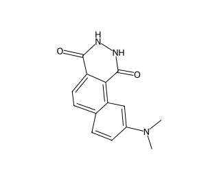 CN(C)c1ccc2ccc3c(=O)[nH][nH]c(=O)c3c2c1